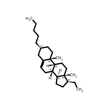 CCCCC[C@H]1CC[C@@]2(C)C(=CC[C@@H]3[C@H]2CC[C@]2(C)[C@@H](CC)CC[C@@H]32)C1